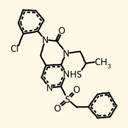 CC(S)CN1C(=O)N(c2ccccc2Cl)Cc2cnc(S(=O)(=O)Cc3ccccc3)nc21